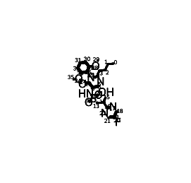 CCCCc1nc(O)c(NS(=O)(=O)CC(C)c2ncc(F)cn2)c(=O)n1-c1c(OC)cccc1OC